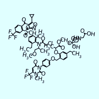 CCc1ccc(COc2ccc(-n3c(=O)cc(C(F)(F)F)n(C)c3=O)cc2)c(OC(C)C(=O)OC)c1.CCc1cccc(C)c1N(C(=O)CCl)C(C)COC.CS(=O)(=O)c1cc(C(F)(F)F)ccc1C(=O)c1cnoc1C1CC1.O=C(O)CNCP(=O)(O)O